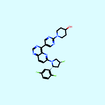 OC1CCN(c2ncc(-c3ncnc4ccc(N5C[C@@H](F)C[C@@H]5c5cc(F)ccc5F)nc34)cn2)CC1